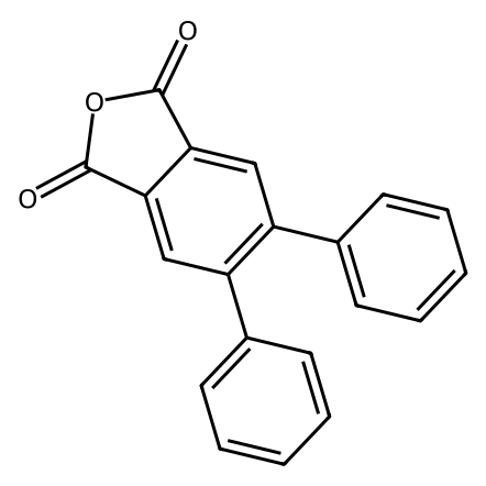 O=C1OC(=O)c2cc(-c3ccccc3)c(-c3ccccc3)cc21